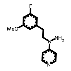 COc1cc(F)cc(CCN(N)c2ccncc2)c1